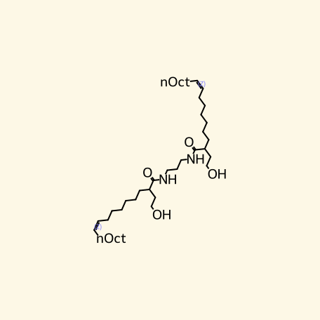 CCCCCCCC/C=C\CCCCCCC(CCO)C(=O)NCCCNC(=O)C(CCO)CCCCCC/C=C\CCCCCCCC